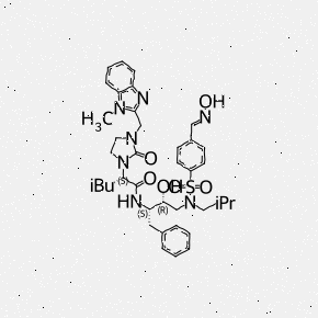 CCC(C)[C@@H](C(=O)N[C@@H](Cc1ccccc1)[C@H](O)CN(CC(C)C)S(=O)(=O)c1ccc(C=NO)cc1)N1CCN(Cc2nc3ccccc3n2C)C1=O